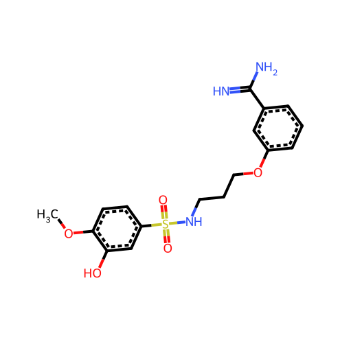 COc1ccc(S(=O)(=O)NCCCOc2cccc(C(=N)N)c2)cc1O